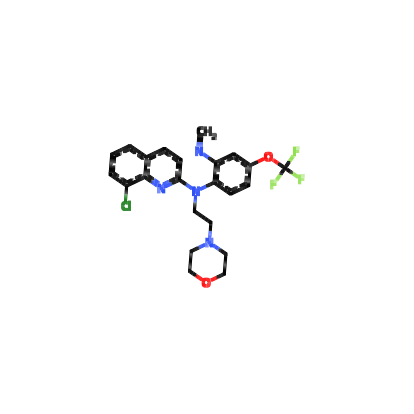 C=Nc1cc(OC(F)(F)F)ccc1N(CCN1CCOCC1)c1ccc2cccc(Cl)c2n1